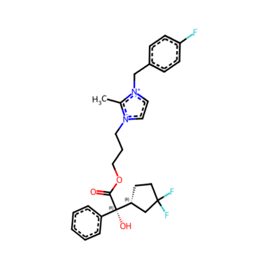 Cc1n(CCCOC(=O)[C@](O)(c2ccccc2)[C@@H]2CCC(F)(F)C2)cc[n+]1Cc1ccc(F)cc1